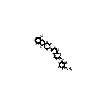 Nc1nccc(Sc2ccc3nc(N4CCC5(CC4)Cc4cccc(Cl)c4C5)cnc3n2)c1Cl